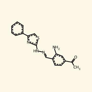 CC(=O)c1ccc(C=NNc2nc(-c3ccccc3)cs2)c(N)c1